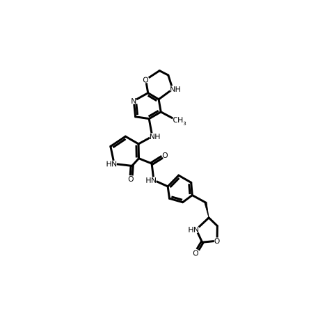 Cc1c(Nc2cc[nH]c(=O)c2C(=O)Nc2ccc(C[C@H]3COC(=O)N3)cc2)cnc2c1NCCO2